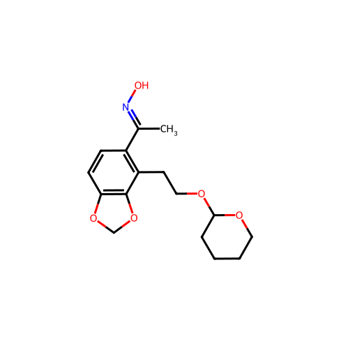 CC(=NO)c1ccc2c(c1CCOC1CCCCO1)OCO2